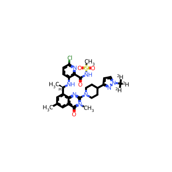 [2H]C([2H])([2H])n1ccc(C2CCN(c3nc4c([C@@H](C)Nc5ccc(Cl)nc5C(=O)NS(C)(=O)=O)cc(C)cc4c(=O)n3C)CC2)n1